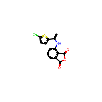 C=C(Nc1cccc2c1C(=O)OC2=O)c1ccc(Cl)s1